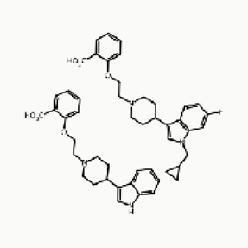 O=C(O)c1ccccc1OCCN1CCC(c2c[nH]c3ccccc23)CC1.O=C(O)c1ccccc1OCCN1CCC(c2cn(CC3CC3)c3cc(F)ccc23)CC1